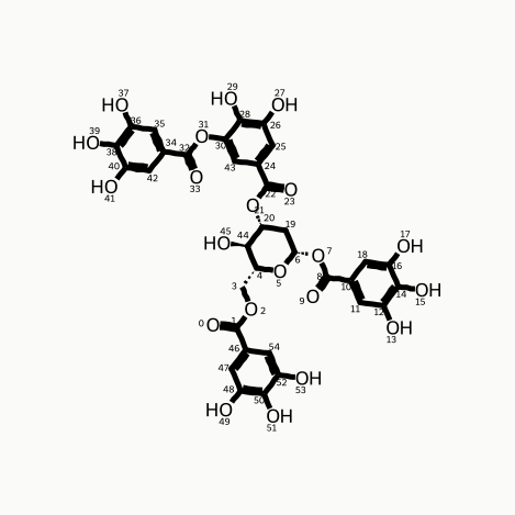 O=C(OC[C@H]1O[C@@H](OC(=O)c2cc(O)c(O)c(O)c2)C[C@@H](OC(=O)c2cc(O)c(O)c(OC(=O)c3cc(O)c(O)c(O)c3)c2)[C@@H]1O)c1cc(O)c(O)c(O)c1